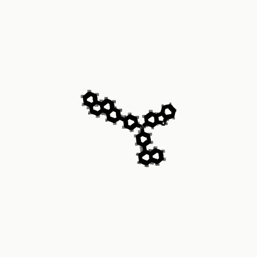 C1=CCC2C(=C1)Oc1cc(N(c3ccc(-c4ccc5c(ccc6c7ccccc7ccc56)c4)cc3)c3ccc(-c4cccc5ccccc45)cc3)ccc12